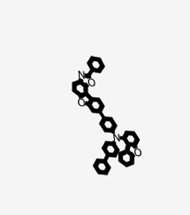 c1ccc(-c2ccc(N(c3ccc(-c4ccc5c(c4)oc4ccc6nc(-c7ccccc7)oc6c45)cc3)c3cccc4oc5ccccc5c34)cc2)cc1